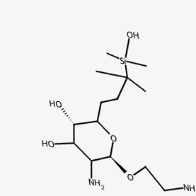 CC(C)(CCC1O[C@@H](OCCN)C(N)C(O)[C@@H]1O)[Si](C)(C)O